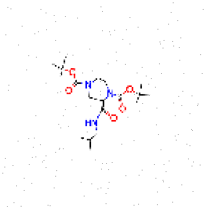 CC(C)CNC(=O)[C@H]1CN(C(=O)OC(C)(C)C)CCN1C(=O)OC(C)(C)C